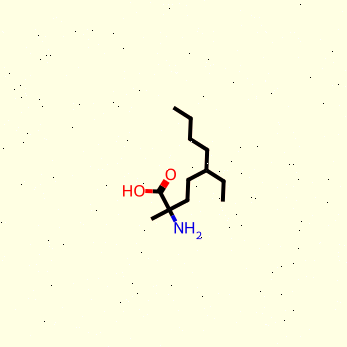 CCCCC(CC)CCC(C)(N)C(=O)O